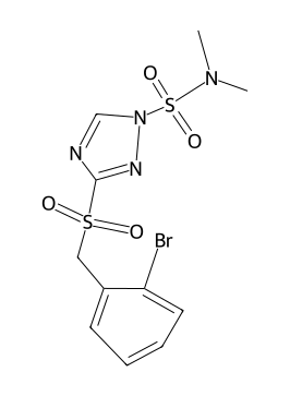 CN(C)S(=O)(=O)n1cnc(S(=O)(=O)Cc2ccccc2Br)n1